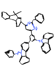 CC1(C)c2ccccc2-c2ccc(-c3cc(-c4cc(-c5ccc6c(c5)c5ccccc5n6-c5ccccc5)cc(-n5c6ccccc6c6ccccc65)c4)nc(-c4ccccc4)n3)cc21